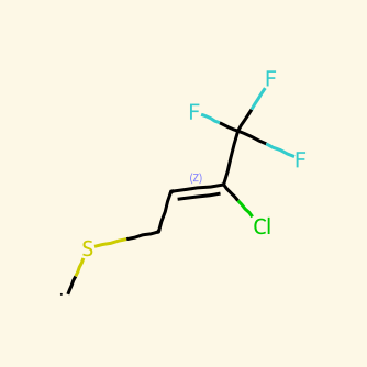 [CH2]SC/C=C(\Cl)C(F)(F)F